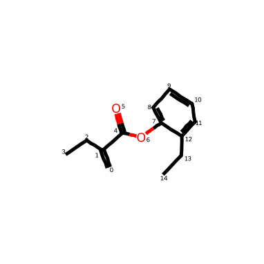 C=C(CC)C(=O)Oc1ccccc1CC